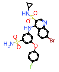 NS(=O)(=O)c1cc(Nc2c(S(=O)(=O)NC3CC3)cnc3cc(Br)ccc23)cc(Oc2ccc(F)cc2)c1